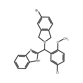 COc1ccc(Cl)cc1C(c1nc2ccccc2[nH]1)N1Cc2ccc(Br)cc2C1